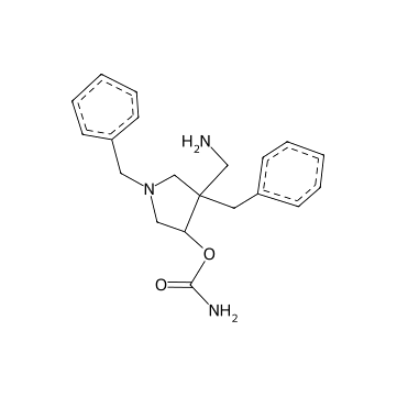 NCC1(Cc2ccccc2)CN(Cc2ccccc2)CC1OC(N)=O